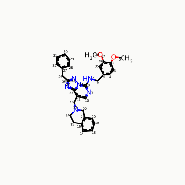 COc1ccc(CNc2ncc(CN3CCc4ccccc4C3)c3nc(Cc4ccccc4)nn23)cc1OC